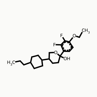 CCCC1CCC(C2CCC(O)(c3ccc(OCC)c(F)c3F)OC2)CC1